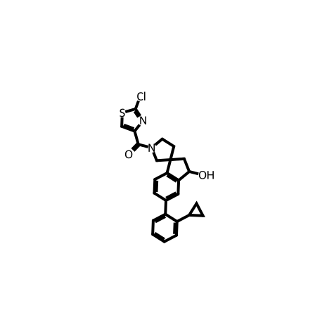 O=C(c1csc(Cl)n1)N1CCC2(CC(O)c3cc(-c4ccccc4C4CC4)ccc32)C1